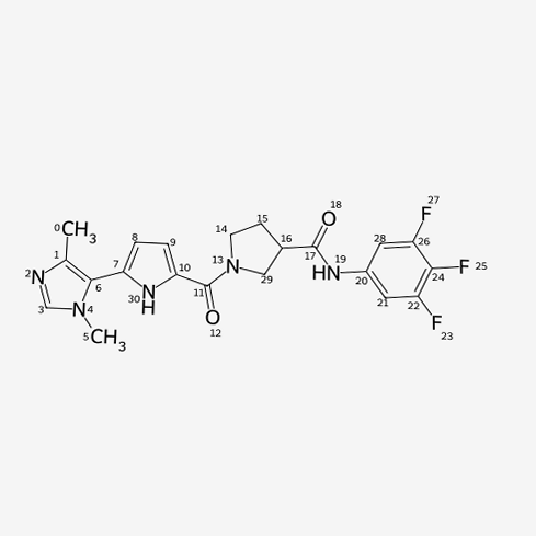 Cc1ncn(C)c1-c1ccc(C(=O)N2CCC(C(=O)Nc3cc(F)c(F)c(F)c3)C2)[nH]1